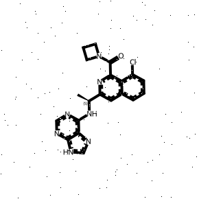 C[C@H](Nc1ncnc2[nH]cnc12)c1cc2cccc(Cl)c2c(C(=O)N2CCC2)n1